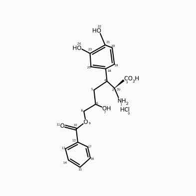 Cl.N[C@H](C(=O)O)C(CC(O)COC(=O)c1ccccc1)c1ccc(O)c(O)c1